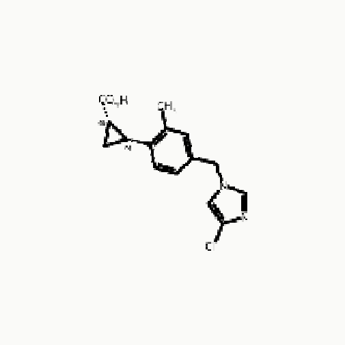 Cc1cc(Cn2cnc(Cl)c2)ccc1[C@H]1C[C@@H]1C(=O)O